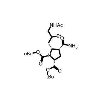 CCCCOC(=O)N1[C@@H](C(=O)OC(C)(C)C)C[C@@H](C(N)=O)[C@H]1CC(CC)CNC(C)=O